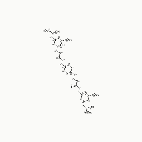 CCCCCCCCCCC(O)CN(CCCCC(=O)OCCN1CCN(CCSSCCCN(CC(O)CCCCCCCCCC)CC(O)CCCCCCCCCC)CC1)CC(O)CCCCCCCCCC